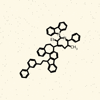 CCC1/C(C2CCc3ccccc3-c3c2ccc2c3C(CCc3cccc(-c4ccccc4)c3)c3ccccc3-2)=C/CC(C)/C(c2ccccc2)=N\C1n1c2ccccc2c2ccccc21